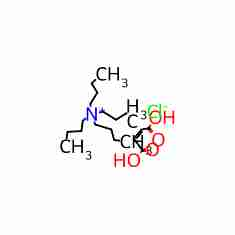 CCCC[N+](CCCC)(CCCC)CCCC.O=C(O)/C=C\C(=O)O.[Cl-]